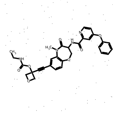 CCNC(=O)OC1(C#Cc2ccc3c(c2)N(C)C(=O)C(NC(=O)c2cc(Oc4ccccc4)ccn2)CO3)COC1